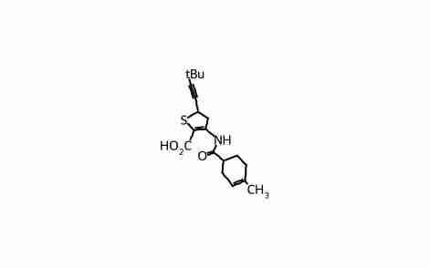 CC1=CCC(C(=O)NC2=C(C(=O)O)SC(C#CC(C)(C)C)C2)CC1